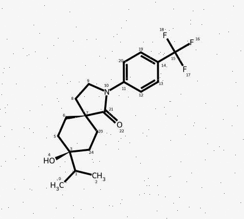 CC(C)[C@]1(O)CC[C@]2(CCN(c3ccc(C(F)(F)F)cc3)C2=O)CC1